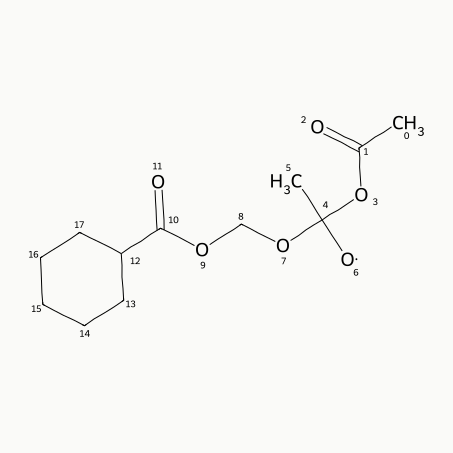 CC(=O)OC(C)([O])OCOC(=O)C1CCCCC1